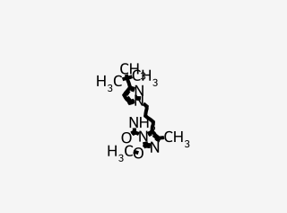 COc1nc(C)c(CCCn2ccc(C(C)(C)C)n2)n1C(N)=O